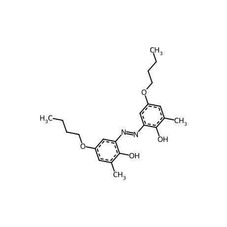 CCCCOc1cc(C)c(O)c(/N=N/c2cc(OCCCC)cc(C)c2O)c1